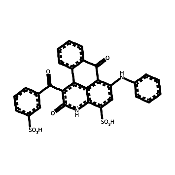 O=C(c1cccc(S(=O)(=O)O)c1)c1c2c3c(c(Nc4ccccc4)cc(S(=O)(=O)O)c3[nH]c1=O)C(=O)c1ccccc1-2